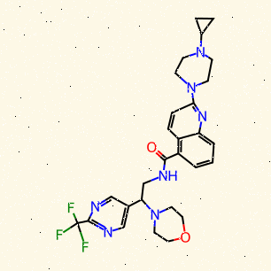 O=C(NCC(c1cnc(C(F)(F)F)nc1)N1CCOCC1)c1cccc2nc(N3CCN(C4CC4)CC3)ccc12